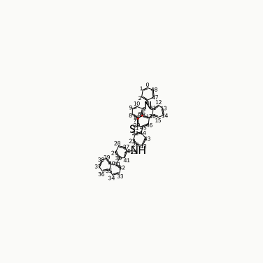 c1ccc(N(c2ccccc2)c2ccccc2-c2ccc3sc4cc(Nc5cccc(-c6cccc7ccccc67)c5)ccc4c3c2)cc1